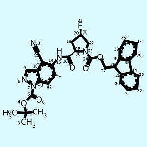 CC(C)(C)OC(=O)n1ncc2c(C#N)c(NC(=O)[C@H]3C[C@@H](F)CN3C(=O)OCC3c4ccccc4-c4ccccc43)ccc21